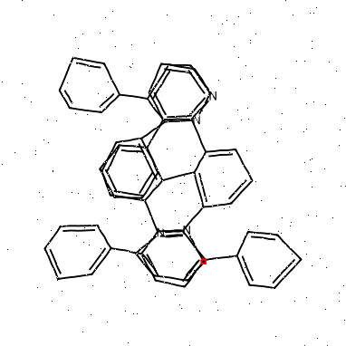 c1ccc(-c2cccnc2-c2cccc(-c3ncccc3-c3ccccc3)c2-c2c(-c3ncccc3-c3ccccc3)cccc2-c2ncccc2-c2ccccc2)cc1